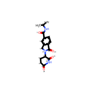 CC(C)C(C)NC(=O)c1ccc2c(c1)CN(C1CCC(=O)NC1=O)C2=O